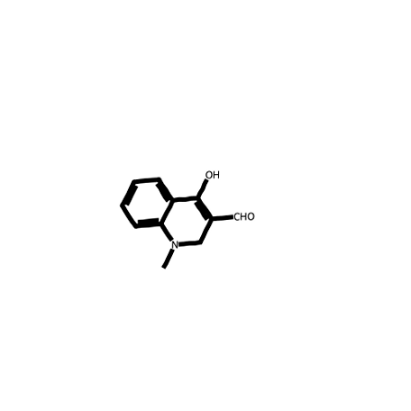 CN1CC(C=O)=C(O)c2ccccc21